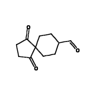 O=CC1CCC2(CC1)C(=O)CCC2=O